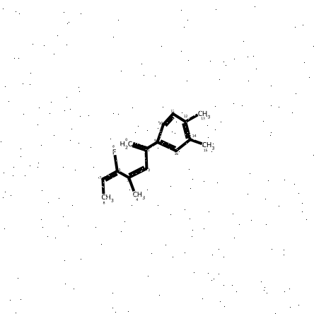 C=C(/C=C(C)\C(F)=C/C)c1ccc(C)c(C)c1